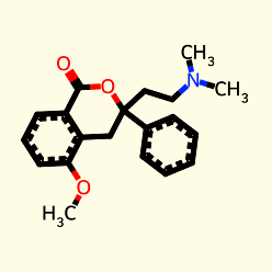 COc1cccc2c1CC(CCN(C)C)(c1ccccc1)OC2=O